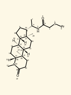 CC(C)SCC(=O)NC(C)[C@H]1CC[C@H]2[C@@H]3CC[C@H]4N(C)C(=O)CC[C@]4(C)[C@H]3CC[C@]12C